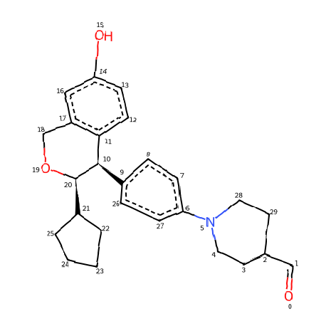 O=CC1CCN(c2ccc([C@@H]3c4ccc(O)cc4CO[C@@H]3C3CCCC3)cc2)CC1